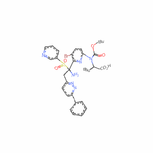 CC(C)(C)OC(=O)N(c1ccc(Br)c(C(N)(Cc2ccc(-c3ccccc3)nn2)S(=O)(=O)c2cccnc2)n1)C(C(=O)O)C(C)(C)C